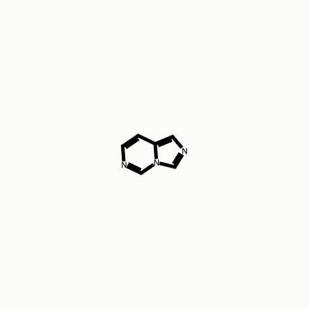 c1cc2cncn2cn1